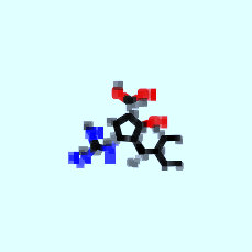 CCC(CC)[C@H](C)[C@@H]1[C@H](O)[C@@H](C(=O)O)C[C@H]1NC(=N)N